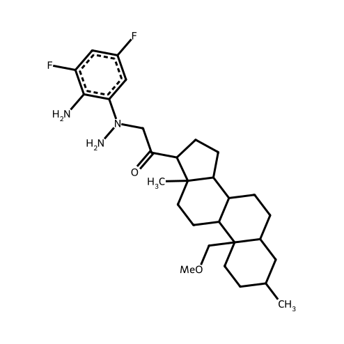 COCC12CCC(C)CC1CCC1C3CCC(C(=O)CN(N)c4cc(F)cc(F)c4N)C3(C)CCC12